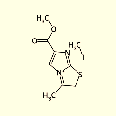 CI.COC(=O)C1=C[N+]2=C(C)CSC2=N1